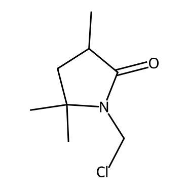 CC1CC(C)(C)N(CCl)C1=O